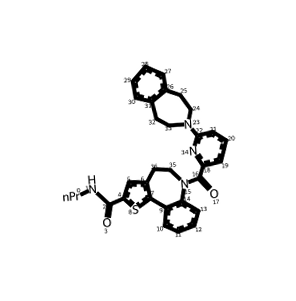 CCCNC(=O)c1cc2c(s1)-c1ccccc1N(C(=O)c1cccc(N3CCc4ccccc4CC3)n1)CC2